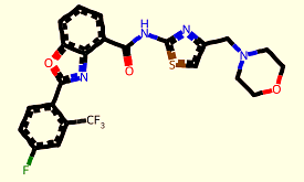 O=C(Nc1nc(CN2CCOCC2)cs1)c1cccc2oc(-c3ccc(F)cc3C(F)(F)F)nc12